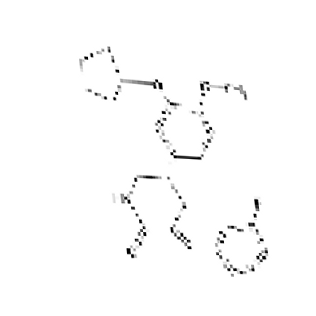 COc1ccc([C@H]2CNC(=O)/C(=C/c3cccc(F)c3)C2)cc1OC1CCCC1